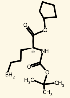 BCCC[C@H](NC(=O)OC(C)(C)C)C(=O)OC1CCCC1